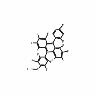 COc1c(F)c(F)c(-c2c3c(F)c(F)c(F)c(F)c3c(-c3ccc(F)cc3F)c3c(F)c(F)c(F)c(F)c23)c(F)c1F